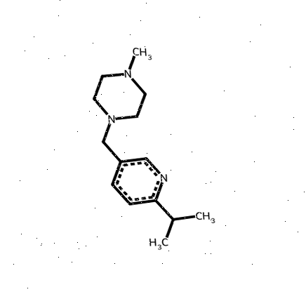 CC(C)c1ccc(CN2CCN(C)CC2)cn1